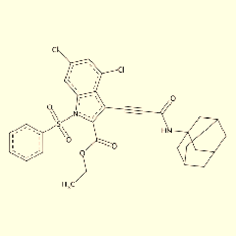 CCOC(=O)c1c(C#CC(=O)NC23CC4CC(CC(C4)C2)C3)c2c(Cl)cc(Cl)cc2n1S(=O)(=O)c1ccccc1